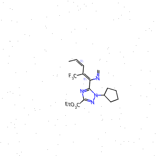 C=N/C(=C(\C=C/C)C(F)(F)F)c1nc(C(=O)OCC)nn1C1CCCC1